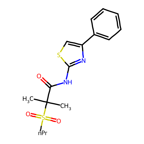 CCCS(=O)(=O)C(C)(C)C(=O)Nc1nc(-c2ccccc2)cs1